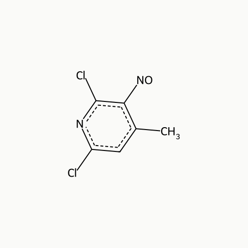 Cc1cc(Cl)nc(Cl)c1N=O